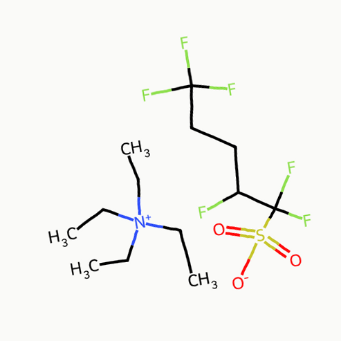 CC[N+](CC)(CC)CC.O=S(=O)([O-])C(F)(F)C(F)CCC(F)(F)F